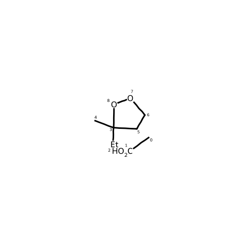 CC(=O)O.CCC1(C)CCOO1